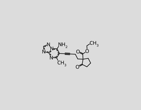 CCOC(=O)C1(CCC#Cc2c(C)nc3ncnn3c2N)CCCC1=O